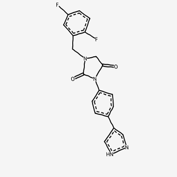 O=C1CN(Cc2cc(F)ccc2F)C(=O)N1c1ccc(-c2cn[nH]c2)cc1